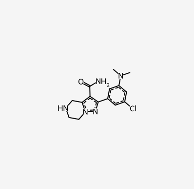 CN(C)c1cc(Cl)cc(-c2nn3c(c2C(N)=O)CNCC3)c1